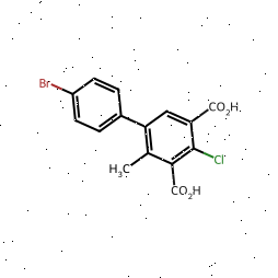 Cc1c(-c2ccc(Br)cc2)cc(C(=O)O)c(Cl)c1C(=O)O